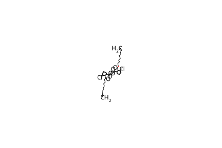 C=CCCCCCCCCC(=O)c1c(Cl)cccc1C(=O)OOC(=O)c1cccc(Cl)c1C(=O)CCCCCCCCC=C